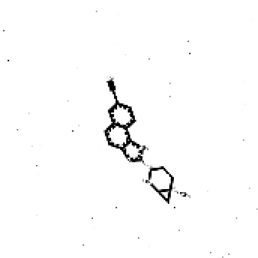 C#Cc1ccc2c(ccc3nc([C@@H]4CC[C@@]5(C)CC5N4)[nH]c32)c1